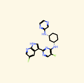 Fc1cnc2[nH]cc(-c3ncc(F)c(N[C@H]4CCC[C@@H](Nc5cnccn5)C4)n3)c2c1